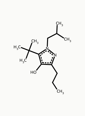 CCCc1nn(CC(C)C)c(C(C)(C)C)c1O